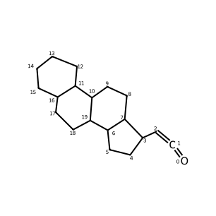 O=C=CC1CCC2C1CCC1C3CCCCC3CCC21